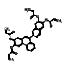 C=CC(=O)Oc1cc2ccc(-c3cc4cc(OC(=O)C=C)c(OC(=O)C=C)cc4c4ccccc34)cc2cc1OC(=O)C=C